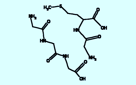 CSCCC(NC(=O)CN)C(=O)O.NCC(=O)NCC(=O)NCC(=O)O